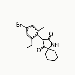 CCc1cc(Br)cc(C)c1C1C(=O)NC2(CCCCC2)C1=O